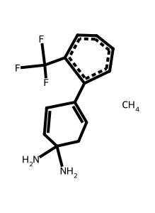 C.NC1(N)C=CC(c2ccccc2C(F)(F)F)=CC1